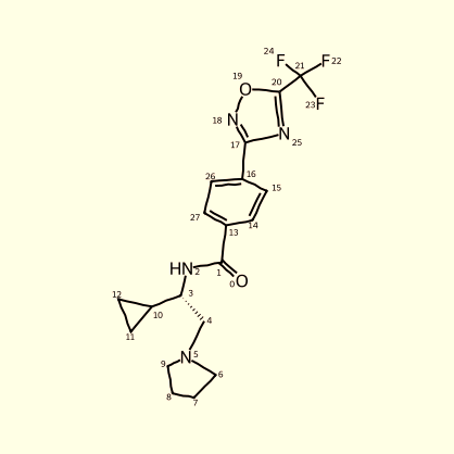 O=C(N[C@H](CN1CCCC1)C1CC1)c1ccc(-c2noc(C(F)(F)F)n2)cc1